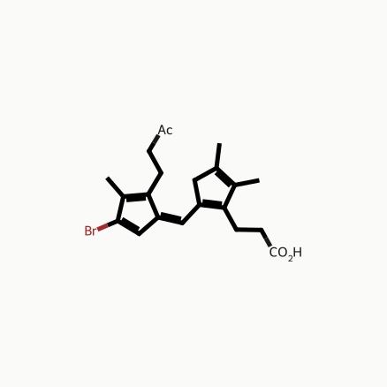 CC(=O)CCC1=C(C)C(Br)=C/C1=C/C1=C(CCC(=O)O)C(C)=C(C)C1